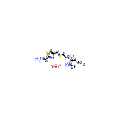 Br.CCNC(=C[N+](=O)[O-])NCCSCc1csc(CN)n1